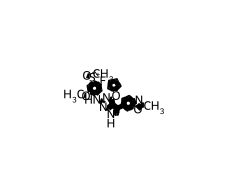 COc1cc([S+](C)[O-])c(F)cc1Nc1nc(OC2CCCC2)c2c(-c3ccc4nc(C)oc4c3)c[nH]c2n1